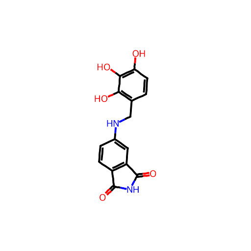 O=C1NC(=O)c2cc(NCc3ccc(O)c(O)c3O)ccc21